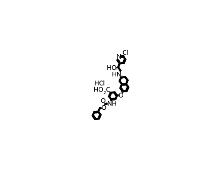 Cl.O=C(Nc1cc(Oc2ccc3c(c2)C[C@@H](NC[C@@H](O)c2ccc(Cl)nc2)CC3)cc(C(=O)O)c1)OCc1ccccc1